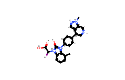 Cc1cccc2c1n(-c1ccc(-c3cncc4c3cnn4C)cc1)c(=O)n2C(I)C(=O)O